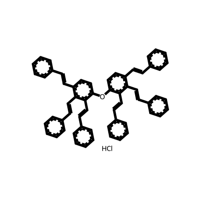 C(=Cc1ccc(Oc2ccc(C=Cc3ccccc3)c(C=Cc3ccccc3)c2C=Cc2ccccc2)c(C=Cc2ccccc2)c1C=Cc1ccccc1)c1ccccc1.Cl